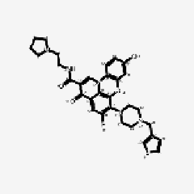 O=C(NCCN1CCCC1)c1cn2c3c(c(N4CCN(Cc5ccsc5)CC4)c(F)cc3c1=O)Oc1cc(Cl)ccc1-2